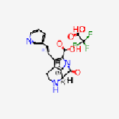 O=C(O)C(F)(F)F.O=C(O)C1=C(/C=C/c2cccnc2)C2CCN[C@@H]3C(=O)N1[C@H]23